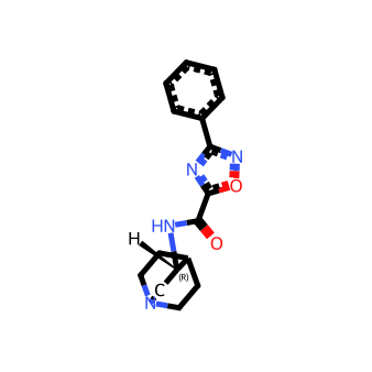 O=C(N[C@H]1CN2CCC1CC2)c1nc(-c2ccccc2)no1